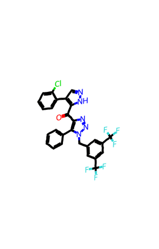 O=C(c1nnn(Cc2cc(C(F)(F)F)cc(C(F)(F)F)c2)c1-c1ccccc1)c1[nH]ncc1-c1ccccc1Cl